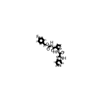 O=C(NC(=O)c1ccsc1NC(=O)C1Nc2cnccc2S1)OCc1ccc(F)cc1